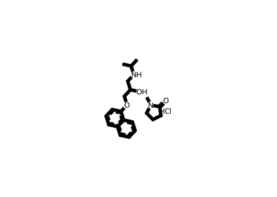 CC(C)NCC(O)COc1cccc2ccccc12.CN1CCCC1=O.Cl